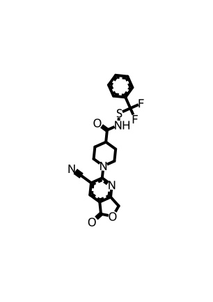 N#Cc1cc2c(nc1N1CCC(C(=O)NSC(F)(F)c3ccccc3)CC1)COC2=O